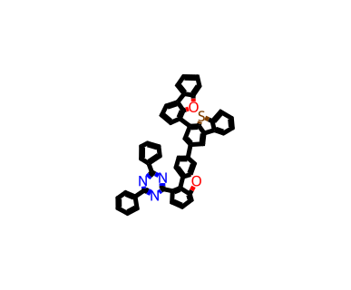 c1ccc(-c2nc(-c3ccccc3)nc(-c3cccc4oc5cc(-c6cc(-c7cccc8c7oc7ccccc78)c7sc8ccccc8c7c6)ccc5c34)n2)cc1